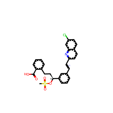 CS(=O)(=O)O[C@@H](CCc1ccccc1C(=O)O)c1cccc(/C=C/c2ccc3ccc(Cl)cc3n2)c1